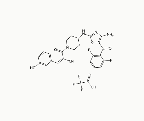 N#C/C(=C/c1cccc(O)c1)C(=O)N1CCC(Nc2nc(N)c(C(=O)c3c(F)cccc3F)s2)CC1.O=C(O)C(F)(F)F